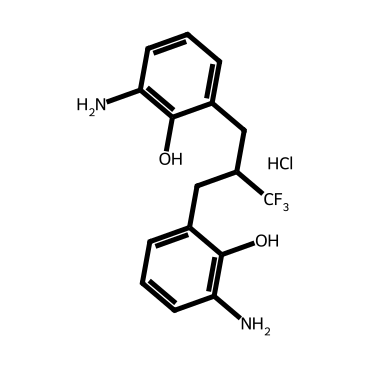 Cl.Nc1cccc(CC(Cc2cccc(N)c2O)C(F)(F)F)c1O